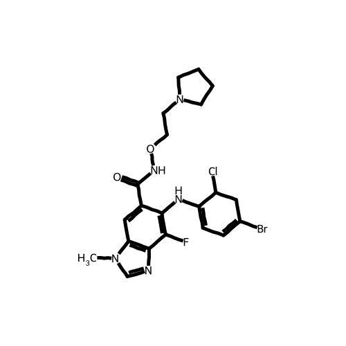 Cn1cnc2c(F)c(NC3=CC=C(Br)CC3Cl)c(C(=O)NOCCN3CCCC3)cc21